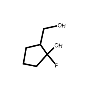 OCC1CCCC1(O)F